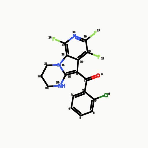 O=C(c1ccccc1Cl)c1c2n(c3c(F)nc(F)c(F)c13)CCCN2